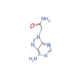 NC(=O)Cn1cnc2c(N)ncnc21